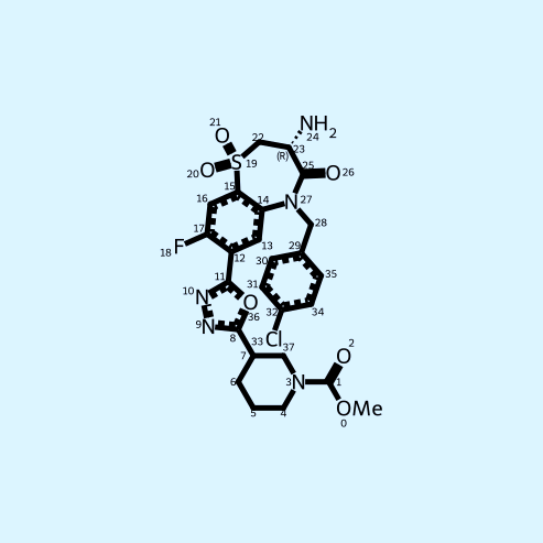 COC(=O)N1CCCC(c2nnc(-c3cc4c(cc3F)S(=O)(=O)C[C@H](N)C(=O)N4Cc3ccc(Cl)cc3)o2)C1